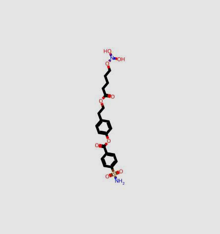 NS(=O)(=O)c1ccc(C(=O)Oc2ccc(CCOC(=O)CCCCON(O)O)cc2)cc1